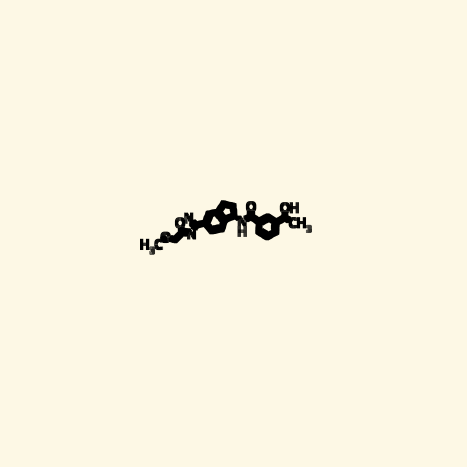 COCc1nc(-c2ccc3c(c2)CC[C@H]3NC(=O)c2cccc(C(C)O)c2)no1